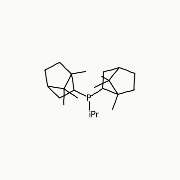 CC(C)P(C1CC2CCC1(C)C2(C)C)C1CC2CCC1(C)C2(C)C